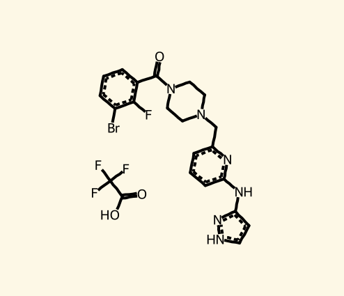 O=C(O)C(F)(F)F.O=C(c1cccc(Br)c1F)N1CCN(Cc2cccc(Nc3cc[nH]n3)n2)CC1